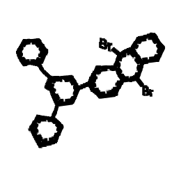 Brc1c2ccccc2c(Br)c2cc(-c3cc(-c4ccccc4)cc(-c4ccccc4)c3)ccc12